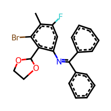 Cc1c(F)cc(N=C(c2ccccc2)c2ccccc2)c(C2OCCO2)c1Br